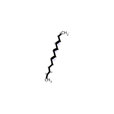 [CH2]C/C=C/C=C/C=C/CCCCC